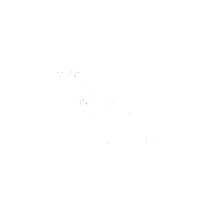 CCCCCCCc1ccc(NC(=O)NC)cc1